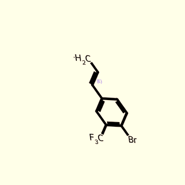 [CH2]/C=C/c1ccc(Br)c(C(F)(F)F)c1